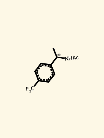 CC(=O)N[C@H](C)c1ccc(C(F)(F)F)cc1